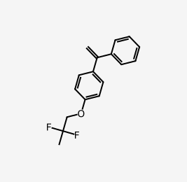 C=C(c1ccccc1)c1ccc(OCC(C)(F)F)cc1